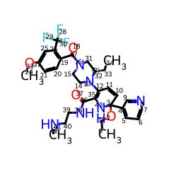 CCOC1(c2cccnc2)C=CC(N2CCN(C(=O)c3ccc(OC)cc3C(F)(F)F)C[C@H]2CC)=C(C(=O)NCCNC)N1